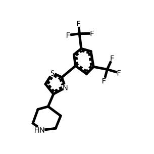 FC(F)(F)c1cc(-c2nc(C3CCNCC3)cs2)cc(C(F)(F)F)c1